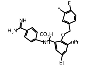 CCCc1cc(CC)cc(C(Nc2ccc(C(=N)N)cc2)C(=O)O)c1OCc1ccc(F)c(F)c1